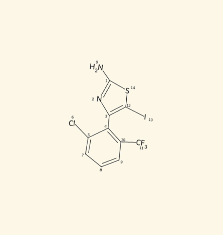 Nc1nc(-c2c(Cl)cccc2C(F)(F)F)c(I)s1